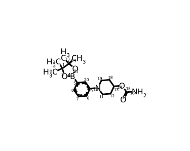 CC1(C)OB(c2cccc(N3CCC(OC(N)=O)CC3)c2)OC1(C)C